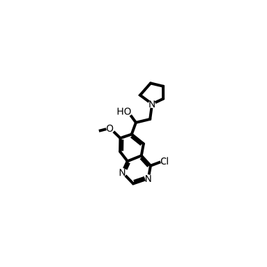 COc1cc2ncnc(Cl)c2cc1C(O)CN1CCCC1